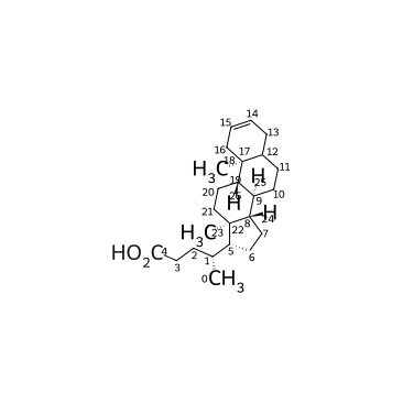 C[C@H](CCC(=O)O)[C@H]1CC[C@H]2[C@@H]3CCC4CC=CC[C@]4(C)[C@H]3CC[C@]12C